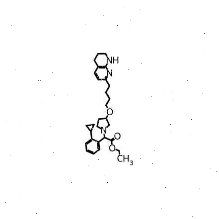 CCOC(=O)C(c1ccccc1C1CC1)N1CCC(OCCCCc2ccc3c(n2)NCCC3)C1